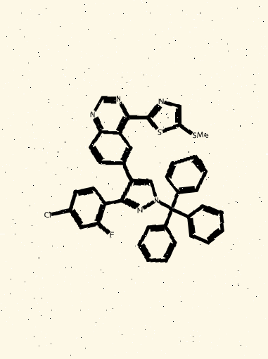 CSc1cnc(-c2ncnc3ccc(-c4cn(C(c5ccccc5)(c5ccccc5)c5ccccc5)nc4-c4ccc(Cl)cc4F)cc23)s1